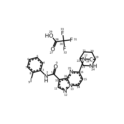 O=C(Nc1ccccc1I)c1cnn2ccc(N3CC4CCC3CN4)nc12.O=C(O)C(F)(F)F